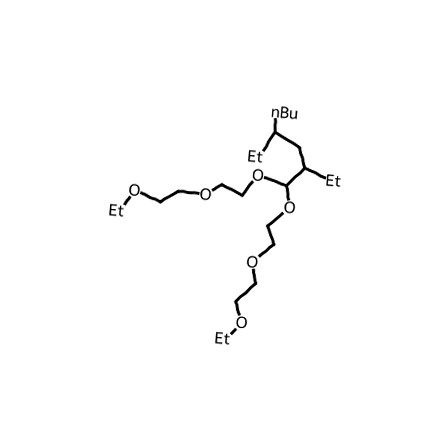 CCCCC(CC)CC(CC)C(OCCOCCOCC)OCCOCCOCC